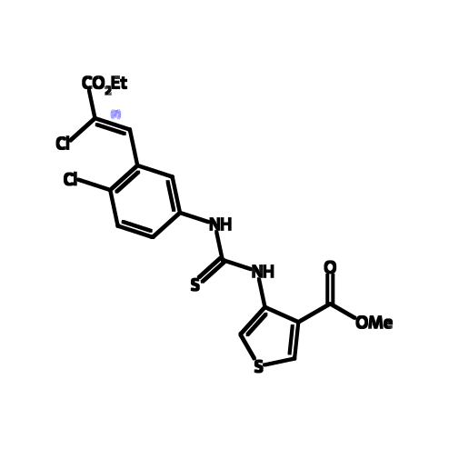 CCOC(=O)/C(Cl)=C/c1cc(NC(=S)Nc2cscc2C(=O)OC)ccc1Cl